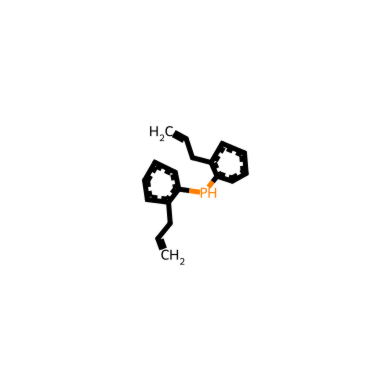 C=CCc1ccccc1Pc1ccccc1CC=C